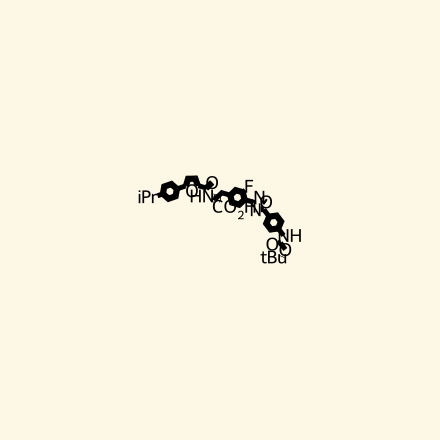 CC(C)c1ccc(-c2ccc(C(=O)N[C@H](Cc3ccc(-c4noc(-c5ccc(NC(=O)OC(C)(C)C)cc5)n4)c(F)c3)C(=O)O)o2)cc1